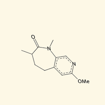 COc1cc2c(cn1)N(C)C(=O)C(C)CC2